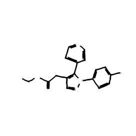 CCOC(=O)Cc1cnn(-c2ccc(F)cc2)c1-c1ccncc1